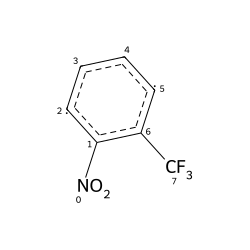 O=[N+]([O-])c1[c]cc[c]c1C(F)(F)F